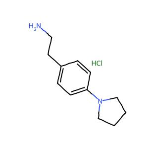 Cl.NCCc1ccc(N2CCCC2)cc1